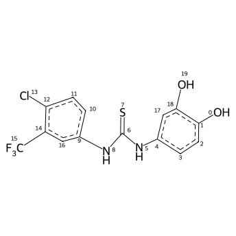 Oc1ccc(NC(=S)Nc2ccc(Cl)c(C(F)(F)F)c2)cc1O